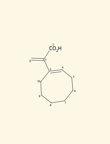 C=C(C(=O)O)C1=CCCCCCC1